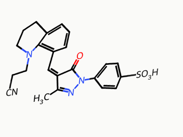 CC1=NN(c2ccc(S(=O)(=O)O)cc2)C(=O)C1=Cc1cccc2c1N(CCC#N)CCC2